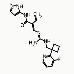 C=C/C(=C\N=C(/N)NCC1(c2ncccc2F)CCC1)C(=O)Nc1ccn[nH]1